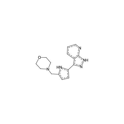 c1cnc2[nH]nc(-c3ccc(CN4CCOCC4)[nH]3)c2c1